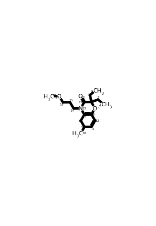 CCC1(CC)OC2=C(CC(C)C=C2)N(CCCOC)C1=O